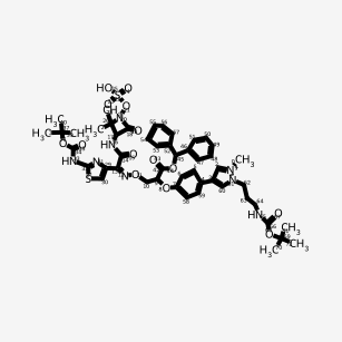 C[n+]1cc(-c2ccc(OC(CON=C(C(=O)NC3C(=O)N(OS(=O)(=O)O)C3(C)C)c3csc(NC(=O)OC(C)(C)C)n3)C(=O)OC(c3ccccc3)c3ccccc3)cc2)cn1CCCNC(=O)OC(C)(C)C